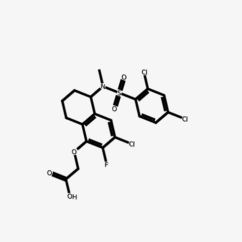 CN(C1CCCc2c1cc(Cl)c(F)c2OCC(=O)O)S(=O)(=O)c1ccc(Cl)cc1Cl